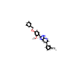 CC(C)Oc1cc(OCc2ccccc2)ccc1-c1nc2cc(-c3cccc(C(F)(F)F)c3)cnc2[nH]1